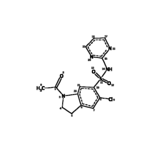 CC(=O)N1CCc2cc(Cl)c(S(=O)(=O)Nc3ncccn3)cc21